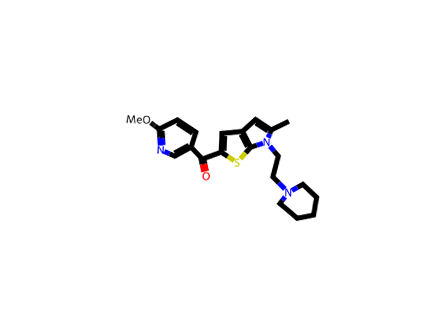 COc1ccc(C(=O)c2cc3cc(C)n(CCN4CCCCC4)c3s2)cn1